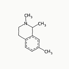 Cc1ccc2c(c1)C(C)N(C)CC2